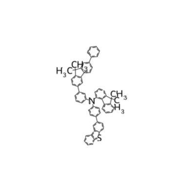 CC1(C)c2ccc(-c3cccc(N(c4ccc(-c5ccc6sc7ccccc7c6c5)cc4)c4cccc5c4-c4ccccc4C5(C)C)c3)cc2-c2ccc(-c3ccccc3)cc21